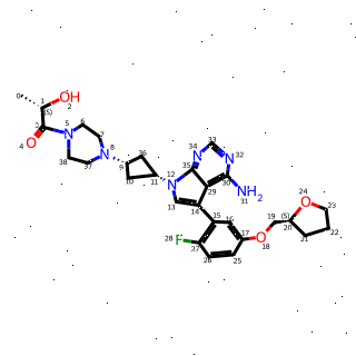 C[C@H](O)C(=O)N1CCN([C@H]2C[C@@H](n3cc(-c4cc(OC[C@@H]5CCCO5)ccc4F)c4c(N)ncnc43)C2)CC1